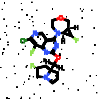 [2H]C([2H])(Oc1nc(N2CCOC[C@H]3[C@@H](F)[C@H]32)c2cnc(Cl)c(F)c2n1)[C@@]12CCCN1C[C@H](F)C2